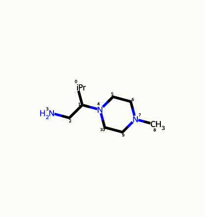 CC(C)C(CN)N1CCN(C)CC1